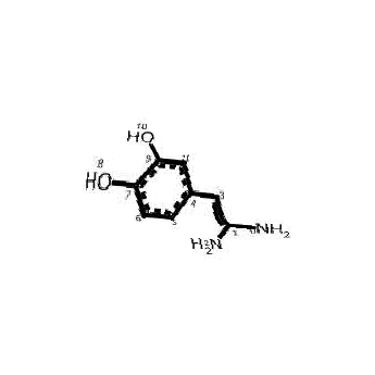 NC(N)=Cc1ccc(O)c(O)c1